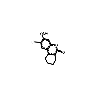 COc1cc2oc(=O)c3c(c2cc1Cl)CCCC3